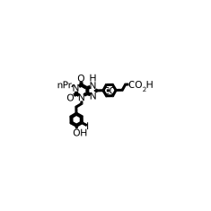 CCCn1c(=O)c2[nH]c(C34CCC(CCC(=O)O)(CC3)CC4)nc2n(CCc2ccc(O)c(I)c2)c1=O